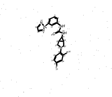 O=C(Nc1cccc(-n2nccn2)c1)NC1C2CN(c3ccc(F)cc3F)CC21